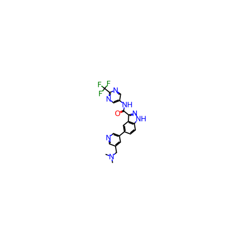 CN(C)Cc1cncc(-c2ccc3[nH]nc(C(=O)Nc4cnc(C(F)(F)F)nc4)c3c2)c1